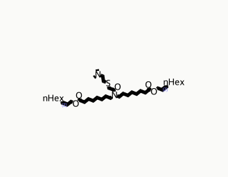 CCCCCC/C=C\COC(=O)CCCCCCCN(CCCCCCCC(=O)OC/C=C\CCCCCC)C(=O)CSCCN(C)C